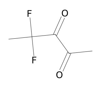 CC(=O)C(=O)C(C)(F)F